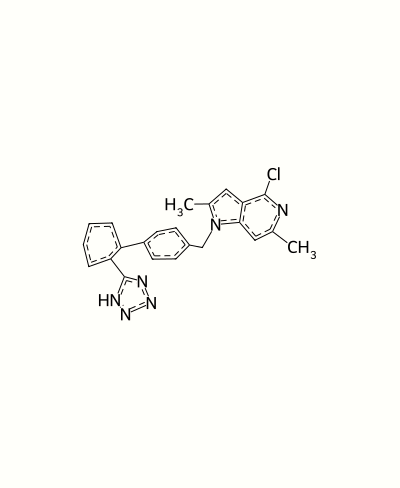 Cc1cc2c(cc(C)n2Cc2ccc(-c3ccccc3-c3nnn[nH]3)cc2)c(Cl)n1